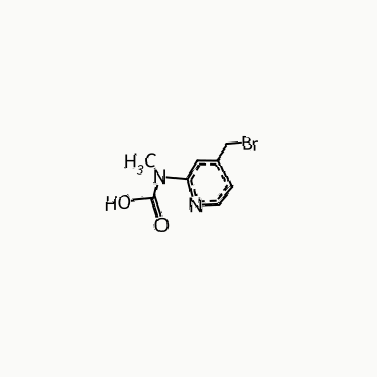 CN(C(=O)O)c1cc(CBr)ccn1